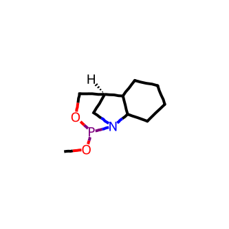 COP1OC[C@@H]2CN1C1CCCCC12